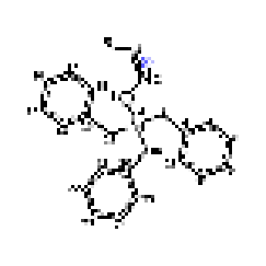 C/C=N\O[Si](Cc1ccccc1)(Cc1ccccc1)Cc1ccccc1